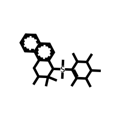 CC1=C(S(C)(C)C2c3ccc4ccccc4c3CC(C)C2(C)C)C(C)C(C)C(C)C1C